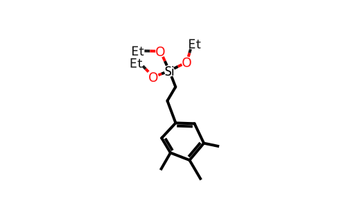 CCO[Si](CCc1cc(C)c(C)c(C)c1)(OCC)OCC